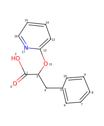 O=C(O)C(Cc1ccccc1)Oc1ccccn1